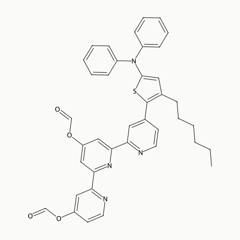 CCCCCCc1cc(N(c2ccccc2)c2ccccc2)sc1-c1ccnc(-c2cc(OC=O)cc(-c3cc(OC=O)ccn3)n2)c1